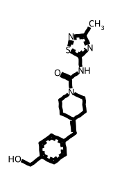 Cc1nsc(NC(=O)N2CCC(=Cc3ccc(CO)cc3)CC2)n1